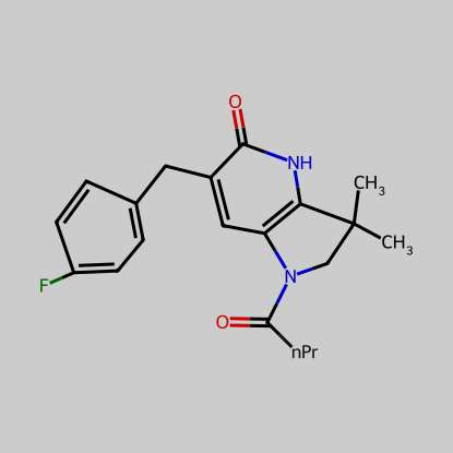 CCCC(=O)N1CC(C)(C)c2[nH]c(=O)c(Cc3ccc(F)cc3)cc21